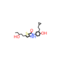 CCC(O)CCc1cc2[nH]n(-c3ccc(O)c(CCC4CC4)c3)c(=O)c2s1